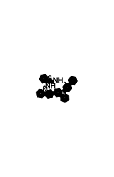 NCc1sc2ccccc2c1NCn1c2ccccc2c2ccc(-c3ccc4c(c3)c3ccccc3n4-c3ccc(-c4ccccc4)cc3)cc21